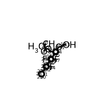 C=C(C)C(=O)OCc1cc(OCCO)ccc1-c1cc(F)c(-c2ccc(C3CCCCC3)cc2F)cc1F